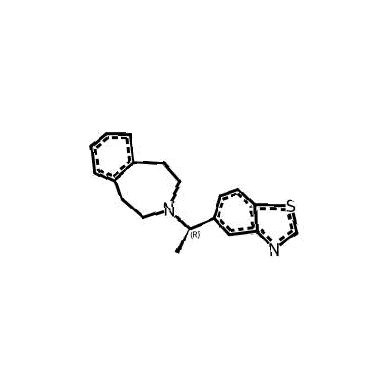 C[C@H](c1ccc2scnc2c1)N1CCc2ccccc2CC1